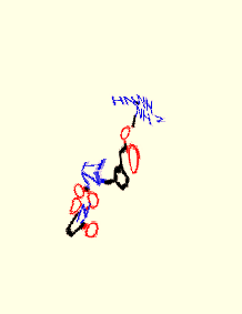 N=C(N)NCCOC(=O)Cc1cccc(CNC(=O)ON2C(=O)CCC2=O)c1